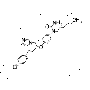 CCCCCCN(C(N)=O)c1ccc(OC(CCc2ccc(Cl)cc2)Cn2ccnc2)cc1